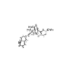 COc1ccc2c(c1)C(=O)N(C[C@]1(C#Cc3ccc4ncccc4c3)NC(=O)NC1=O)C2